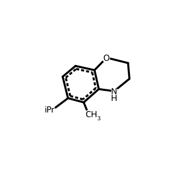 Cc1c(C(C)C)ccc2c1NCCO2